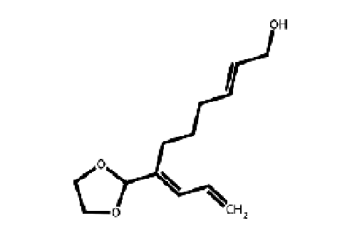 C=C/C=C(\CCC/C=C/CO)C1OCCO1